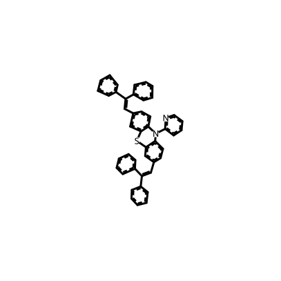 C(=C(c1ccccc1)c1ccccc1)c1ccc2c(c1)Sc1cc(C=C(c3ccccc3)c3ccccc3)ccc1N2c1ccccn1